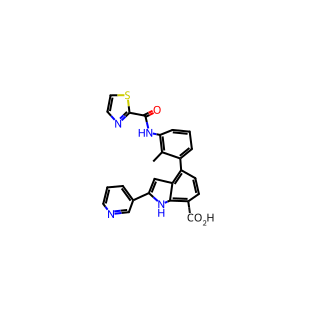 Cc1c(NC(=O)c2nccs2)cccc1-c1ccc(C(=O)O)c2[nH]c(-c3cccnc3)cc12